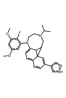 COc1cc(OC)c(F)c(N2CCN(C(C)C)CC3C4C2=CC=C2N=CC(c5cn[nH]c5)=CC234)c1